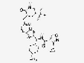 CC1CCC([C@H](NC(=O)c2conc2C2CC2)c2cn3nc(CC4C[C@@H](C(F)(F)F)CNC4=O)ccc3n2)CC1